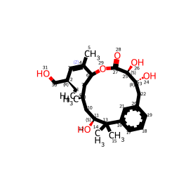 CC[C@H](/C=C(/C)C1C[C@@H](C)C[C@H](O)C(C)(C)c2cccc(c2)C[C@@H](O)[C@H](O)C(=O)O1)CO